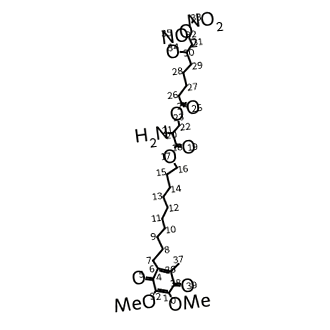 COC1=C(OC)C(=O)C(CCCCCCCCCCOC(=O)C(N)COC(=O)CCCCC(CO[N+](=O)[O-])O[N+](=O)[O-])=C(C)C1=O